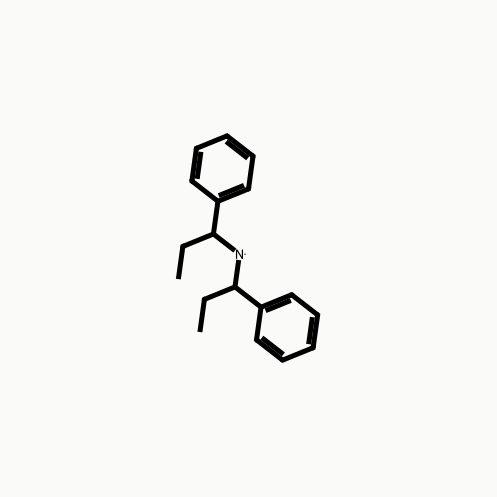 CCC([N]C(CC)c1ccccc1)c1ccccc1